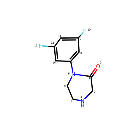 O=C1CNCCN1c1cc(F)cc(F)c1